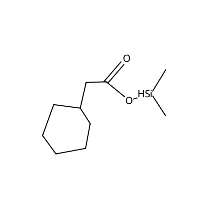 C[SiH](C)OC(=O)CC1CCCCC1